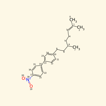 CC(C)=CCCC(C)CCc1ccc(-c2ccc([N+](=O)[O-])cc2)cc1